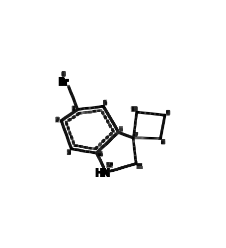 Brc1ccc2c(c1)C1(CCC1)CN2